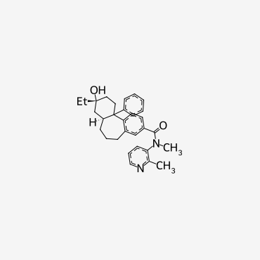 CC[C@@]1(O)CCC2(c3ccccc3)c3ccc(C(=O)N(C)c4cccnc4C)cc3CCC[C@H]2C1